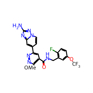 COc1nnc(-c2ccn3nc(N)nc3c2)cc1C(=O)NCc1cc(OC(F)(F)F)ccc1F